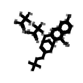 C[N+](C)(C)CCC1=CC2Cc3nc4cc(Cl)ccc4c(N)c3C(C1)C2.O=C(O)C(F)(F)F.O=C([O-])C(F)(F)F